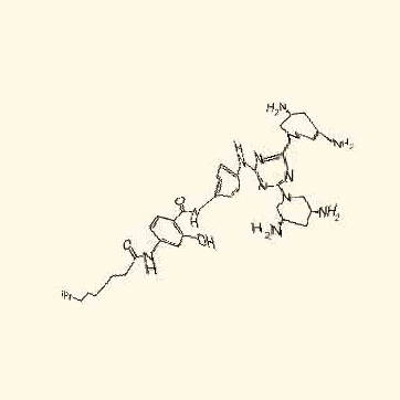 CC(C)CCCCCC(=O)Nc1ccc(C(=O)Nc2ccc(Nc3nc(N4C[C@H](N)C[C@H](N)C4)nc(N4C[C@H](N)C[C@H](N)C4)n3)cc2)c(O)c1